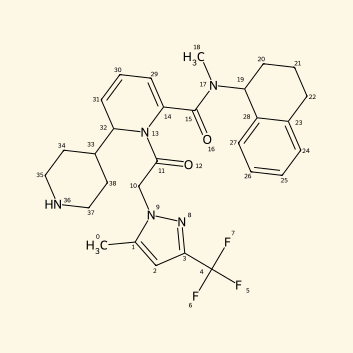 Cc1cc(C(F)(F)F)nn1CC(=O)N1C(C(=O)N(C)C2CCCc3ccccc32)=CC=CC1C1CCNCC1